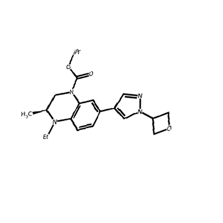 CCN1c2ccc(-c3cnn(C4COC4)c3)cc2N(C(=O)OC(C)C)C[C@@H]1C